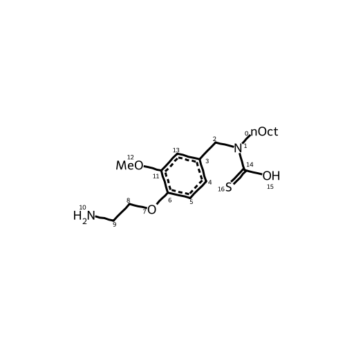 CCCCCCCCN(Cc1ccc(OCCN)c(OC)c1)C(O)=S